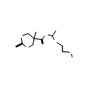 CCOCCOC(C)OC(=O)C1(C)COC(=O)OC1